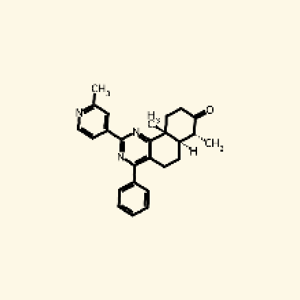 Cc1cc(-c2nc(-c3ccccc3)c3c(n2)[C@]2(C)CCC(=O)[C@H](C)[C@H]2CC3)ccn1